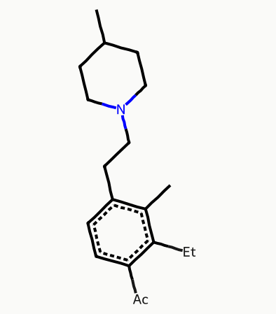 CCc1c(C(C)=O)ccc(CCN2CCC(C)CC2)c1C